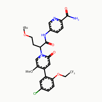 COc1cn(C(CCOC(C)(C)C)C(=O)Nc2ccc(C(N)=O)nc2)c(=O)cc1-c1cc(Cl)ccc1OCC(F)(F)F